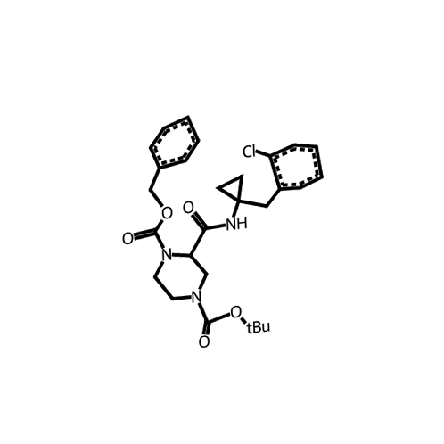 CC(C)(C)OC(=O)N1CCN(C(=O)OCc2ccccc2)C(C(=O)NC2(Cc3ccccc3Cl)CC2)C1